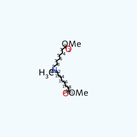 COC(=O)CCCCCCCN(C)CCCCCCCC(=O)OC